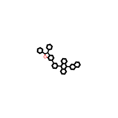 c1ccc(C2Oc3cc(-c4cccc(-c5c6ccccc6c(-c6ccc7ccccc7c6)c6ccccc56)c4)ccc3C2c2ccccc2)cc1